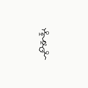 CCCC(=O)N1CCCC(c2nc(CCNC(=O)C(C)C)cs2)C1